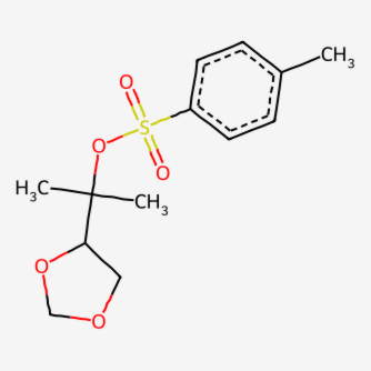 Cc1ccc(S(=O)(=O)OC(C)(C)C2COCO2)cc1